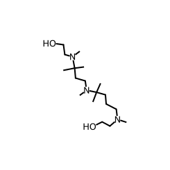 CN(CCO)CCCC(C)(C)N(C)CCC(C)(C)N(C)CCO